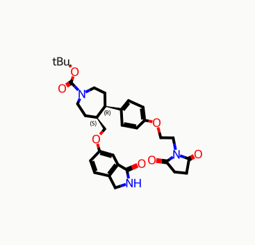 CC(C)(C)OC(=O)N1CC[C@H](COc2ccc3c(c2)C(=O)NC3)[C@H](c2ccc(OCCN3C(=O)CCC3=O)cc2)CC1